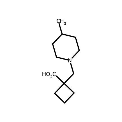 CC1CCN(CC2(C(=O)O)CCC2)CC1